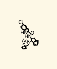 CC(=O)N(Cc1cccs1)[C@@H]1c2ccccc2C[C@@H]1NC(=O)c1cc2cc(Cl)ccc2[nH]1